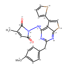 COc1ccc(Cc2nc(NN3C(=O)C=C(C)C3=O)c3c(-c4cccs4)csc3n2)cc1